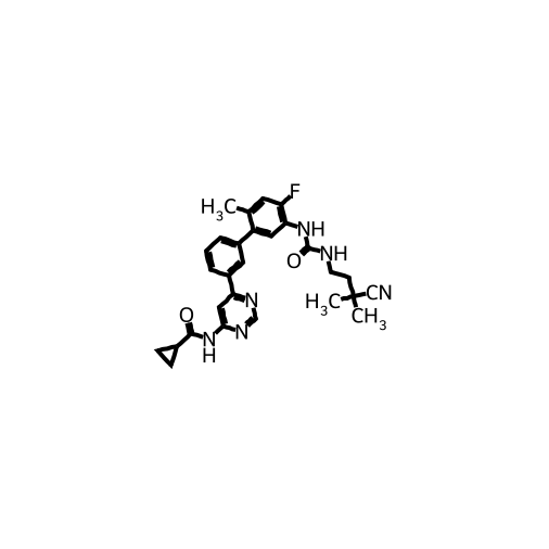 Cc1cc(F)c(NC(=O)NCCC(C)(C)C#N)cc1-c1cccc(-c2cc(NC(=O)C3CC3)ncn2)c1